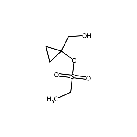 CCS(=O)(=O)OC1(CO)CC1